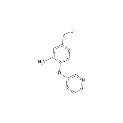 Nc1cc(CO)ccc1Oc1cccnc1